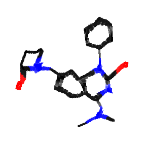 CN(C)c1nc(=O)n(-c2ccccc2)c2cc(N3CCC3=O)ccc12